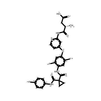 C[C@@H](CC(=O)O)C(=O)Nc1cc(Oc2cc(F)c(NC(=O)C3(C(=O)Nc4ccc(F)cc4)CC3)cc2F)ccn1